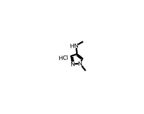 CNc1cnn(C)c1.Cl